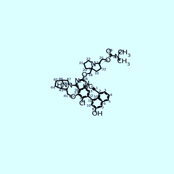 C#Cc1cccc2cc(O)cc(-c3cc4nc(OCC56CCCN5C(COC(=O)N(C)C)CC6)nc5c4c(c3Cl)OCC3C4CCC(CN53)N4)c12